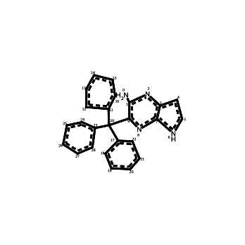 Nc1nc2cc[nH]c2nc1C(c1ccccc1)(c1ccccc1)c1ccccc1